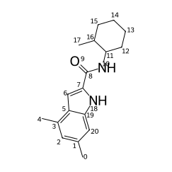 Cc1cc(C)c2cc(C(=O)NC3CCCCC3C)[nH]c2c1